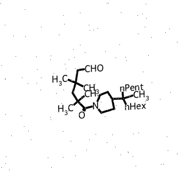 CCCCCCC(C)(CCCCC)C1CCN(C(=O)C(C)(C)CC(C)(C)CC=O)CC1